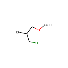 CCC(CCl)COC(=O)O